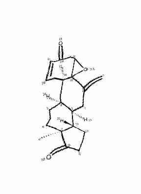 C=C1C[C@@H]2[C@@H](CC[C@]3(C)C(=O)CC[C@@H]23)[C@@]2(C)C=CC(=O)C3OC132